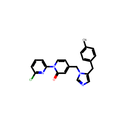 N#Cc1ccc(Cc2cncn2Cc2ccn(-c3cccc(Cl)n3)c(=O)c2)cc1